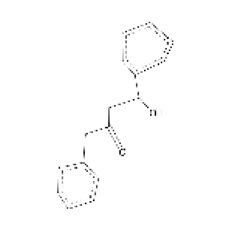 O=C(Cc1ccccc1)CC(O)c1ccccc1